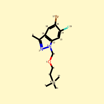 Cc1nn(COCC[Si](C)(C)C)c2cc(F)c(Br)cc12